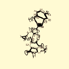 O=C(N[C@@H](CC1CC1)C(=O)N[C@@H](C[C@@H]1CCNC1=O)C(=O)COC(F)(F)F)c1cc2cc(F)ccc2[nH]1